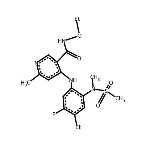 CCONC(=O)c1cnc(C)cc1Nc1cc(F)c(CC)cc1N(C)S(C)(=O)=O